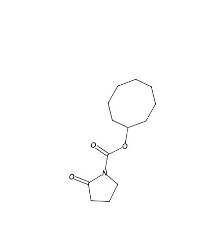 O=C1CCCN1C(=O)OC1CCCCCCC1